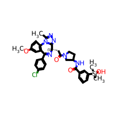 COc1ccc2c(c1)C(c1ccc(Cl)cc1)=N[C@@H](CC(=O)N1CCC(NC(=O)c3cccc([Si](C)(C)O)c3)C1)c1nnc(C)n1-2